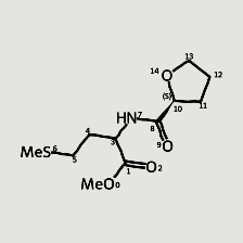 COC(=O)C(CCSC)NC(=O)[C@@H]1CCCO1